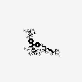 CCC(B1OC(C)(C)C(C)(C)O1)=C(c1ccc(NC(=O)OC(C)(C)C)cc1)c1ccc(OCCN(CC=CC(=O)N(C)C)C(=O)O)cc1